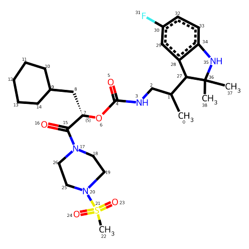 CC(CNC(=O)O[C@@H](CC1CCCCC1)C(=O)N1CCN(S(C)(=O)=O)CC1)C1c2cc(F)ccc2NC1(C)C